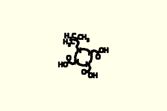 CC(C)(C)CCN1CCN(CC(=O)O)CCN(CC(=O)O)CCN(CC(=O)O)CC1